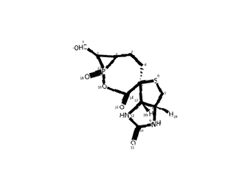 O=[C]C1C2CC[C@@]3(SC[C@@H]4NC(=O)N[C@@H]43)C(=O)OP12=O